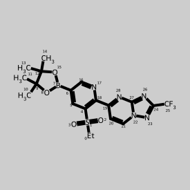 CCS(=O)(=O)c1cc(B2OC(C)(C)C(C)(C)O2)cnc1-c1ccn2nc(C(F)(F)F)nc2n1